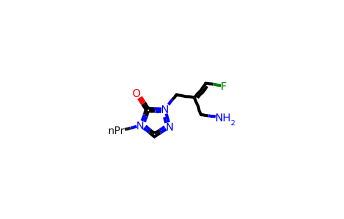 CCCn1cnn(CC(=CF)CN)c1=O